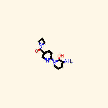 NC1=CC=CN(c2ccc(C(=O)N3CCC3)cn2)C1O